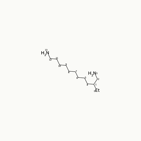 CCC(CN)CCCCCCCCCN